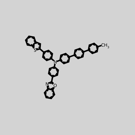 Cc1ccc(-c2ccc(-c3ccc(N(c4ccc(-c5nc6ccccc6o5)cc4)c4ccc(-c5cc6ccccc6s5)cc4)cc3)cc2)cc1